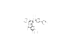 Nc1cc(C(F)(F)F)c(-c2cc(NC3CCN(C4CCOCC4)CC3)nc(N3CCOCC3)n2)cn1